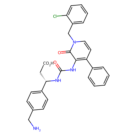 NCc1ccc([C@H](CC(=O)O)NC(=O)Nc2c(-c3ccccc3)ccn(Cc3ccccc3Cl)c2=O)cc1